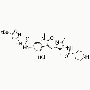 Cc1[nH]c(/C=C2\C(=O)Nc3cc(NC(=O)Nc4cc(C(C)(C)C)on4)ccc32)c(C)c1NC(=O)C1CCNCC1.Cl